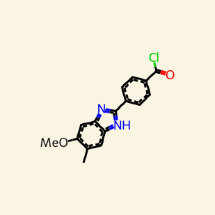 COc1cc2nc(-c3ccc(C(=O)Cl)cc3)[nH]c2cc1C